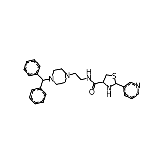 O=C(NCCN1CCN(C(c2ccccc2)c2ccccc2)CC1)C1CSC(c2cccnc2)N1